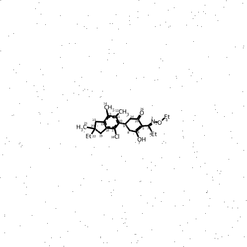 CCON=C(CC)C1=C(O)CC(c2c(C)c(C)c3c(c2Cl)CC(C)(CC)C3)CC1=O